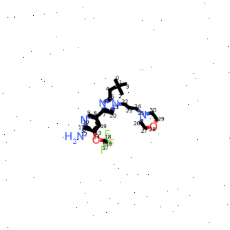 CC(C)(C)Cc1nc(-c2cnc(N)c(OC(F)(F)F)c2)cn1CCCN1CCOCC1